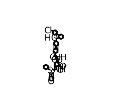 O=C(NS(=O)(=O)c1ccc(N[C@H](CCN2CCOCC2)CSc2ccccc2)c([N+](=O)[O-])c1)c1ccc(N2CCC([C@@H](O)c3ccccc3-c3ccc(Cl)cc3)CC2)cc1